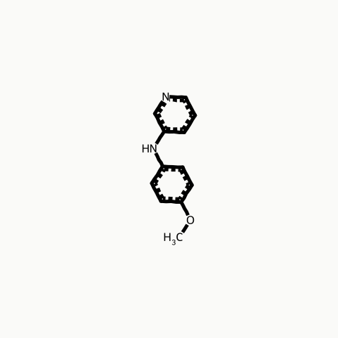 COc1ccc(Nc2cccnc2)cc1